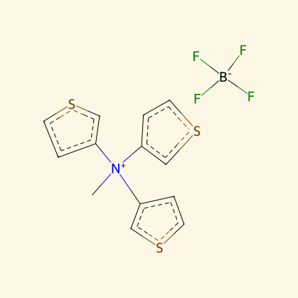 C[N+](c1ccsc1)(c1ccsc1)c1ccsc1.F[B-](F)(F)F